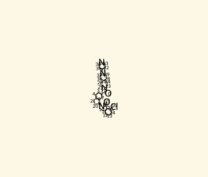 O=C(c1ccc2c(c1)C(N1Cc3cccc(Cl)c3C1=O)CC2)N1CCC2(CC1)CCN(c1ccncc1)CC2